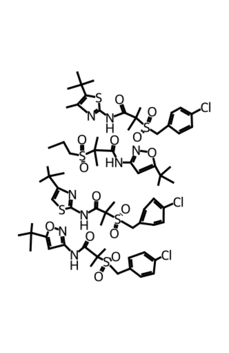 CC(C)(C)c1cc(NC(=O)C(C)(C)S(=O)(=O)Cc2ccc(Cl)cc2)no1.CC(C)(C)c1csc(NC(=O)C(C)(C)S(=O)(=O)Cc2ccc(Cl)cc2)n1.CCCS(=O)(=O)C(C)(C)C(=O)Nc1cc(C(C)(C)C)on1.Cc1nc(NC(=O)C(C)(C)S(=O)(=O)Cc2ccc(Cl)cc2)sc1C(C)(C)C